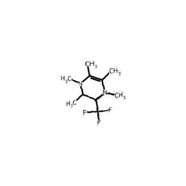 CC1=C(C)N(C)C(C(F)(F)F)C(C)N1C